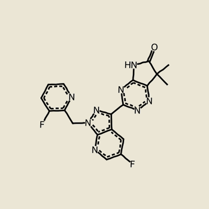 CC1(C)C(=O)Nc2nc(-c3nn(Cc4ncccc4F)c4ncc(F)cc34)nnc21